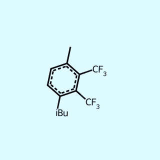 CCC(C)c1ccc(C)c(C(F)(F)F)c1C(F)(F)F